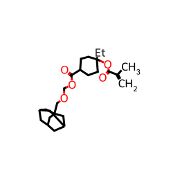 C=C(C)C(=O)OC1(CC)CCC(C(=O)OCOCC23CC4CC(CC(C4)C2)C3)CC1